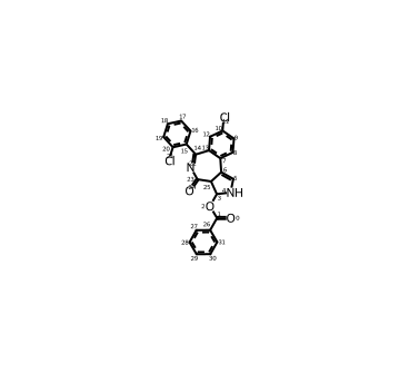 O=C(OC1NC=C2c3ccc(Cl)cc3C(c3ccccc3Cl)=NC(=O)C21)c1ccccc1